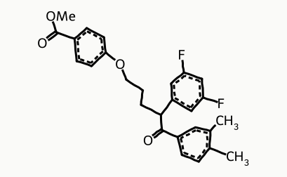 COC(=O)c1ccc(OCCCC(C(=O)c2ccc(C)c(C)c2)c2cc(F)cc(F)c2)cc1